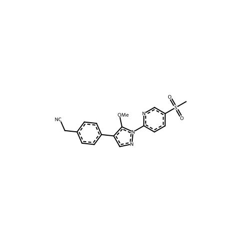 COc1c(-c2ccc(CC#N)cc2)cnn1-c1ccc(S(C)(=O)=O)cn1